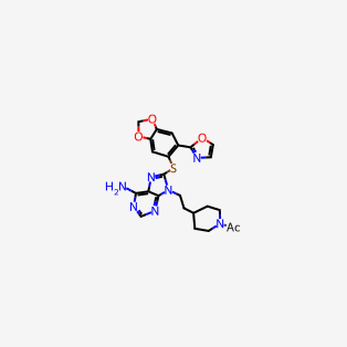 CC(=O)N1CCC(CCn2c(Sc3cc4c(cc3-c3ncco3)OCO4)nc3c(N)ncnc32)CC1